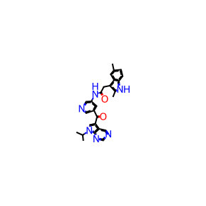 Cc1ccc2[nH]c(C)c(CC(=O)Nc3cncc(C(=O)c4cn(C(C)C)c5ncncc45)c3)c2c1